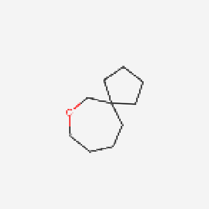 C1CCC2(CCCC2)COC1